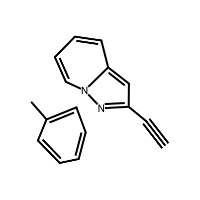 C#Cc1cc2ccccn2n1.Cc1ccccc1